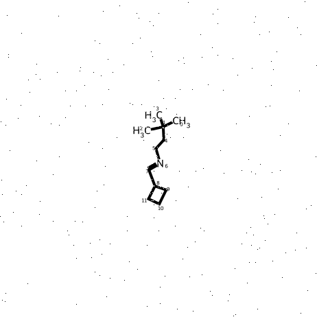 CC(C)(C)CC/N=C/C1CCC1